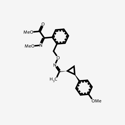 CON=C(C(=O)OC)c1ccccc1CON=C(C)[C@@H]1C[C@H]1c1ccc(OC)cc1